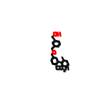 Cc1ccccc1-c1cc(COCc2cccc(CO)c2)ccc1C(=O)O